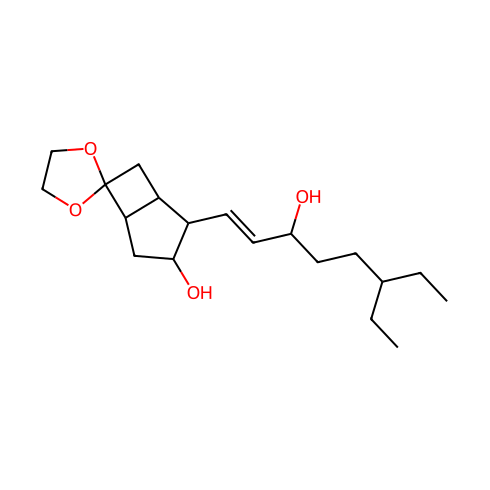 CCC(CC)CCC(O)C=CC1C(O)CC2C1CC21OCCO1